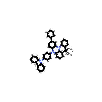 CC1(C)c2ccccc2N2c3cc(-c4ccccc4)ccc3N(c3ccc(-n4c5ccccc5c5ccccc54)cc3)c3cccc1c32